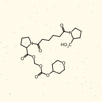 O=C(OCOC(=O)C1CCCN1C(=O)CCCCC(=O)N1CCCC1C(=O)O)OC1CCOCC1